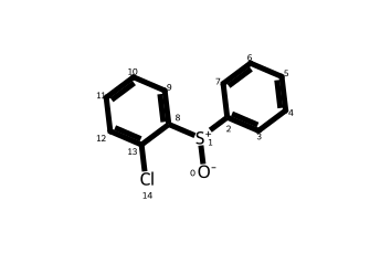 [O-][S+](c1ccccc1)c1ccccc1Cl